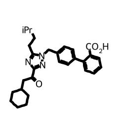 CC(C)CCc1nc(C(=O)CC2CCCCC2)nn1Cc1ccc(-c2ccccc2C(=O)O)cc1